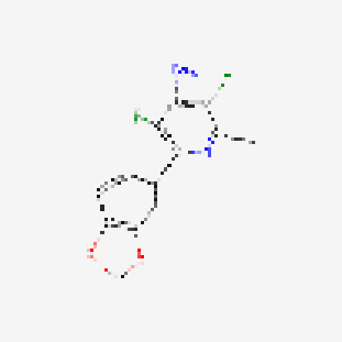 Cc1nc(-c2ccc3c(c2)OCO3)c(F)c(N)c1Cl